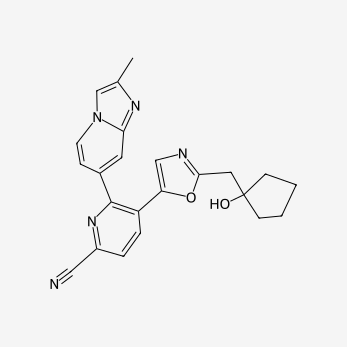 Cc1cn2ccc(-c3nc(C#N)ccc3-c3cnc(CC4(O)CCCC4)o3)cc2n1